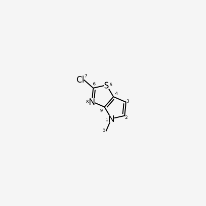 Cn1ccc2sc(Cl)nc21